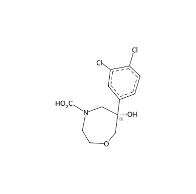 O=C(O)N1CCOC[C@](O)(c2ccc(Cl)c(Cl)c2)C1